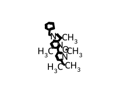 COc1nc(C(C)C)ccc1-c1nc2c(C)cn(Cc3ccccc3)c2cc1C